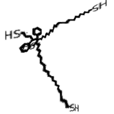 S[CH]CCC(c1ccccc1)C(CCCCCCCCCCCCCCCCCCCCS)([C](S)CCCCCCCCCCCCCCCCCCCCS)c1ccccc1